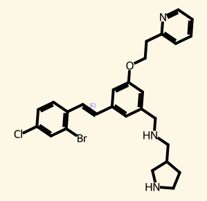 Clc1ccc(/C=C/c2cc(CNCC3CCNC3)cc(OCCc3ccccn3)c2)c(Br)c1